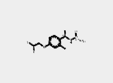 Cc1cc(OCC(F)F)ccc1[C@@H](C)N[S@+]([O-])C(C)(C)C